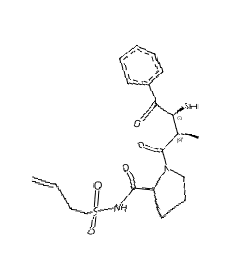 C=CCS(=O)(=O)NC(=O)C1CCCN1C(=O)[C@H](C)[C@H](S)C(=O)c1ccccc1